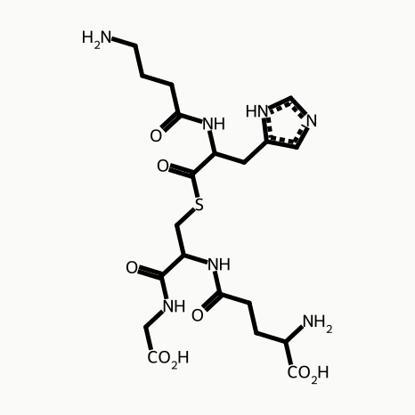 NCCCC(=O)NC(Cc1cnc[nH]1)C(=O)SCC(NC(=O)CCC(N)C(=O)O)C(=O)NCC(=O)O